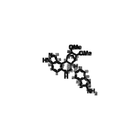 COC1C2CC(C3c4c(ccc5[nH]ncc45)N[C@@H](c4ccc5nc(N)sc5c4)[C@H]23)[C@H]1OC